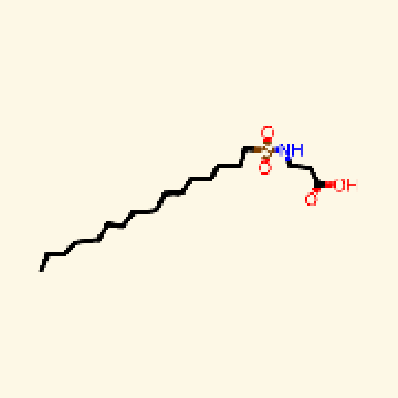 CCCCCCCCCCCCCCCCS(=O)(=O)NCCC(=O)O